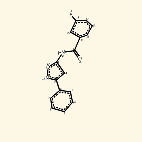 O=C(Nc1cc(-c2ccccc2)no1)c1cccc(F)c1